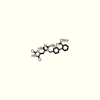 CCCCc1ncc(C=C2C(=O)NC(=O)N2CCCC)n1Cc1ccc(-c2ccccc2C(=O)OC)cc1